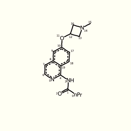 CCCC(=O)Nc1nccc2cc(OC3CN(C)C3)ccc12